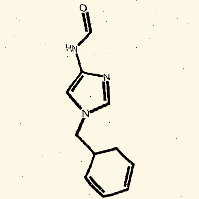 O=CNc1cn(CC2C=CC=CC2)cn1